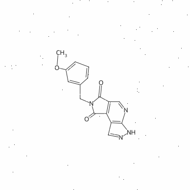 COc1cccc(CN2C(=O)c3cnc4[nH]ncc4c3C2=O)c1